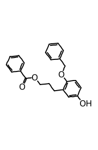 O=C(OCCCc1cc(O)ccc1OCc1ccccc1)c1ccccc1